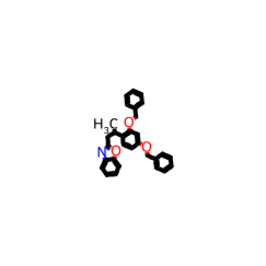 CC(Cc1nc2ccccc2o1)c1ccc(OCc2ccccc2)cc1OCc1ccccc1